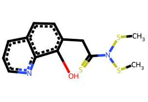 CSN(SC)C(=S)Cc1ccc2cccnc2c1O